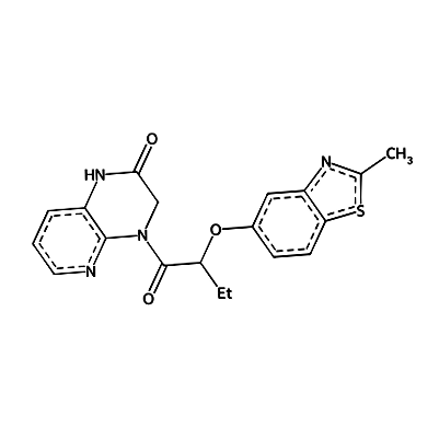 CCC(Oc1ccc2sc(C)nc2c1)C(=O)N1CC(=O)Nc2cccnc21